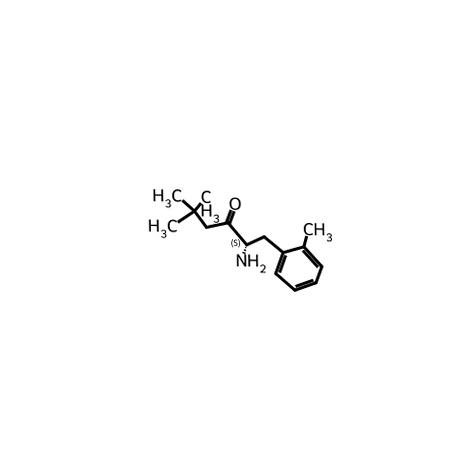 Cc1ccccc1C[C@H](N)C(=O)CC(C)(C)C